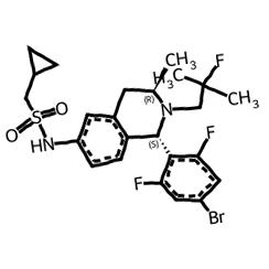 C[C@@H]1Cc2cc(NS(=O)(=O)CC3CC3)ccc2[C@@H](c2c(F)cc(Br)cc2F)N1CC(C)(C)F